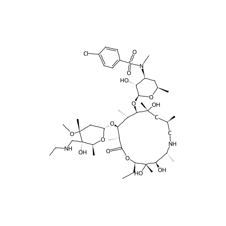 CCNC[C@]1(O)[C@H](C)O[C@@H](O[C@H]2[C@H](C)[C@@H](O[C@@H]3O[C@H](C)C[C@H](N(C)S(=O)(=O)c4ccc(Cl)cc4)[C@H]3O)[C@](C)(O)C[C@@H](C)CN[C@H](C)[C@@H](O)[C@](C)(O)[C@@H](CC)OC(=O)[C@@H]2C)C[C@@]1(C)OC